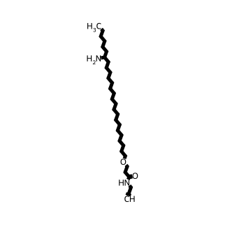 C#CCNC(=O)CCOCCCCCCCCCCCCCCCCCCCC(N)CCCCCC